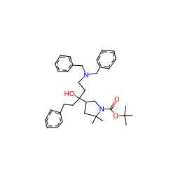 CC(C)(C)OC(=O)N1CC(C(O)(CCc2ccccc2)CCN(Cc2ccccc2)Cc2ccccc2)CC1(C)C